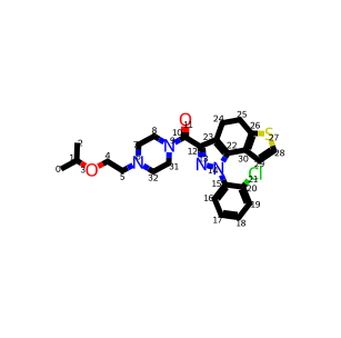 CC(C)OCCN1CCN(C(=O)c2nn(-c3ccccc3Cl)c3c2CCc2sccc2-3)CC1